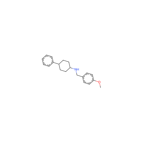 COc1ccc(CNC2CCC(c3ccccc3)CC2)cc1